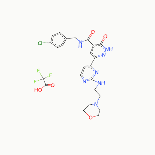 O=C(NCc1ccc(Cl)cc1)c1cc(-c2ccnc(NCCN3CCOCC3)n2)n[nH]c1=O.O=C(O)C(F)(F)F